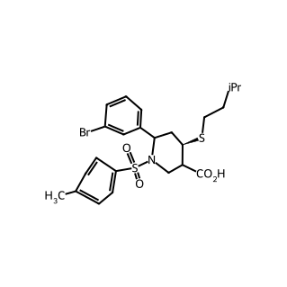 Cc1ccc(S(=O)(=O)N2CC(C(=O)O)[C@H](SCCC(C)C)CC2c2cccc(Br)c2)cc1